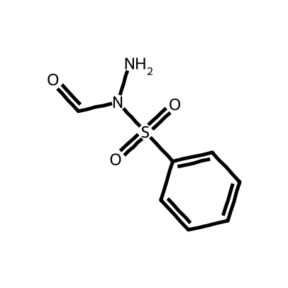 NN(C=O)S(=O)(=O)c1ccccc1